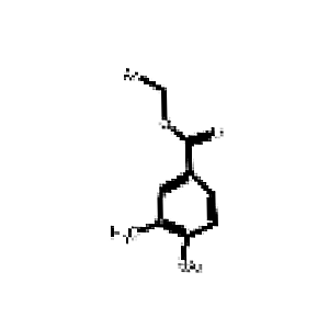 CC(=O)COC(=O)c1ccc(C(C)(C)C)c(C)c1